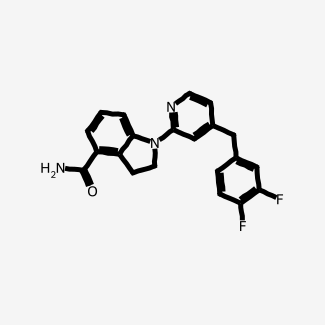 NC(=O)c1cccc2c1CCN2c1cc(Cc2ccc(F)c(F)c2)ccn1